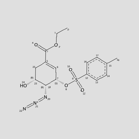 CCOC(=O)C1=C[C@H](OS(=O)(=O)c2ccc(C)cc2)[C@H](N=[N+]=[N-])[C@H](O)C1